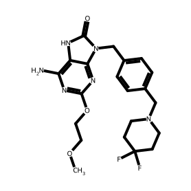 COCCOc1nc(N)c2[nH]c(=O)n(Cc3ccc(CN4CCC(F)(F)CC4)cc3)c2n1